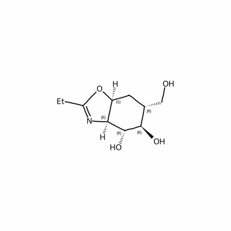 CCC1=N[C@@H]2[C@@H](O)[C@H](O)[C@@H](CO)C[C@@H]2O1